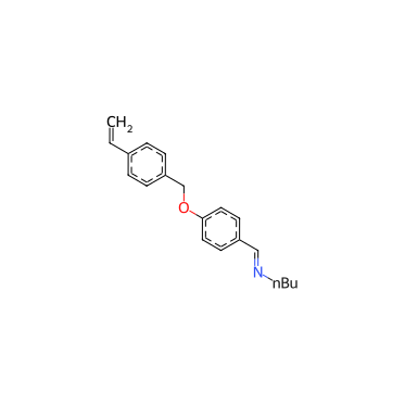 C=Cc1ccc(COc2ccc(/C=N/CCCC)cc2)cc1